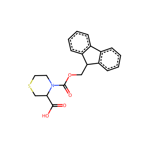 O=C(O)C1CSCCN1C(=O)OCC1c2ccccc2-c2ccccc21